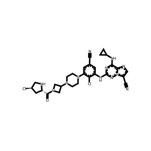 N#Cc1cc(Nc2nc(NC3CC3)c3ncc(C#N)n3n2)c(Cl)c(N2CCN(C3CN(C(=O)[C@@H]4C[C@@H](Cl)CN4)C3)CC2)c1